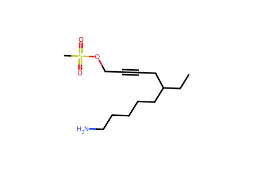 CCC(CC#CCOS(C)(=O)=O)CCCCCN